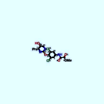 COC(=O)C(=O)Nc1cc(Cl)c(Oc2ncc(O)c(C(C)C)n2)c(Cl)c1